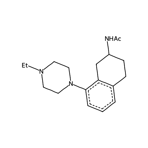 CCN1CCN(c2cccc3c2CC(NC(C)=O)CC3)CC1